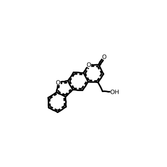 O=c1cc(CO)c2cc3c(cc2o1)oc1ccccc13